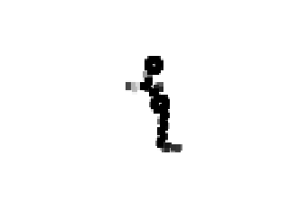 CCCCCCCCCCCCCCCCc1ccc(C(=O)OC(C)COc2ccccc2)cc1